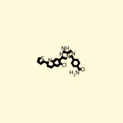 NC(=O)C1CCC(c2ncc3c(N)nc(-c4cc5nc(-c6cccs6)ccc5cc4Cl)cn23)CC1